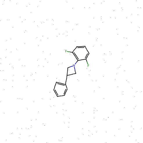 Fc1cccc(F)c1N1CC(c2ccccc2)C1